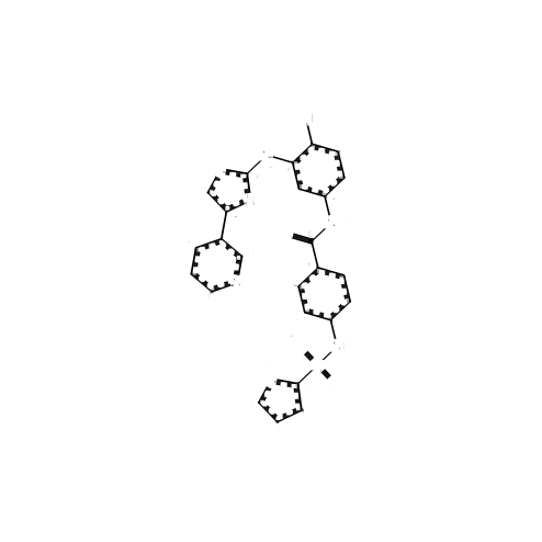 Cc1ccc(NC(=O)c2ccc(NS(=O)(=O)c3cccs3)cc2)cc1Nc1nc(-c2cccnc2)cs1